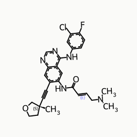 CN(C)C/C=C/C(=O)Nc1cc2c(Nc3ccc(F)c(Cl)c3)ncnc2cc1C#C[C@]1(C)CCOC1